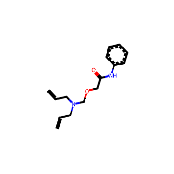 C=CCN(CC=C)COCC(=O)Nc1ccccc1